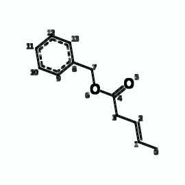 CC=CCC(=O)OCc1ccccc1